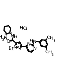 CCn1nc(-c2ccnc(Nc3cc(C)cc(C)c3)n2)cc1C(=O)N[C@H]1CCCC[C@H]1N.Cl